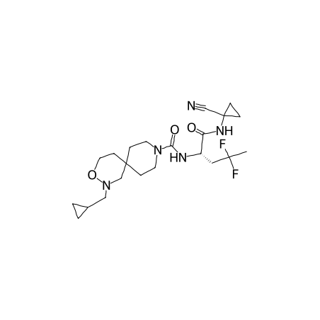 CC(F)(F)C[C@H](NC(=O)N1CCC2(CCON(CC3CC3)C2)CC1)C(=O)NC1(C#N)CC1